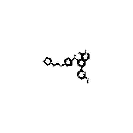 COc1cncc(-c2cc3cc[nH]c(=O)c3c(Nc3ccc(OCCN4CCCC4)cc3)n2)n1